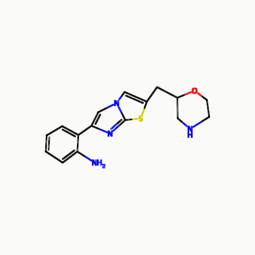 Nc1ccccc1-c1cn2cc(CC3CNCCO3)sc2n1